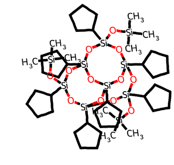 C[Si](C)(C)O[Si]1(C2CCCC2)O[Si]2(C3CCCC3)O[Si](O[Si](C)(C)C)(C3CCCC3)O[Si]3(C4CCCC4)O[Si](O[Si](C)(C)C)(C4CCCC4)O[Si](C4CCCC4)(O1)O[Si](C1CCCC1)(O2)O3